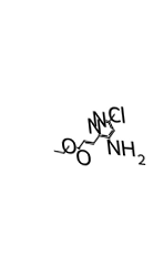 CCOC(=O)C=Cc1nnc(Cl)cc1N